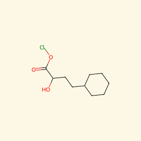 O=C(OCl)C(O)CCC1CCCCC1